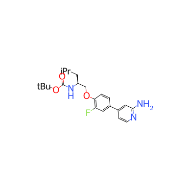 CC(C)C[C@@H](COc1ccc(-c2ccnc(N)c2)cc1F)NC(=O)OC(C)(C)C